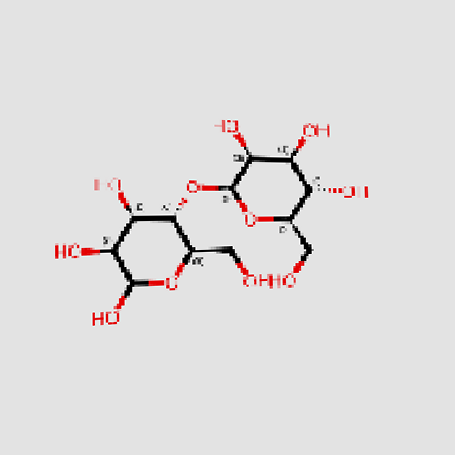 OC[C@H]1O[C@@H](O[C@H]2[C@H](O)[C@H](O)C(O)O[C@@H]2CO)[C@@H](O)[C@@H](O)[C@@H]1O